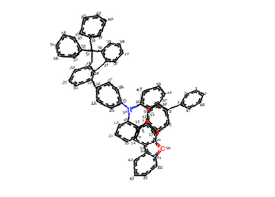 c1ccc(-c2ccc(-c3ccccc3N(c3ccc(-c4cccc5c4-c4ccccc4C5(c4ccccc4)c4ccccc4)cc3)c3ccccc3-c3ccc4c(c3)oc3ccccc34)cc2)cc1